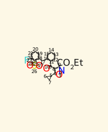 CCOC(=O)c1noc(C2CC2)c1C(=O)c1ccccc1Cc1cccc(F)c1S(C)(=O)=O